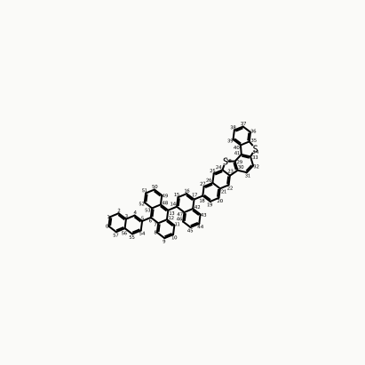 c1ccc2cc(-c3c4ccccc4c(-c4ccc(-c5ccc6cc7c(cc6c5)sc5c7ccc6sc7ccccc7c65)c5ccccc45)c4ccccc34)ccc2c1